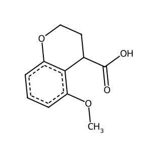 COc1cccc2c1C(C(=O)O)CCO2